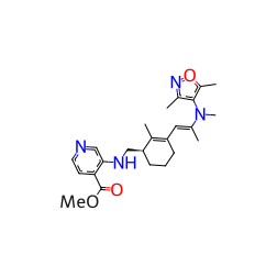 COC(=O)c1ccncc1NC[C@@H]1CCCC(/C=C(\C)N(C)c2c(C)noc2C)=C1C